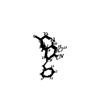 CC1=C2CCN(CCc3ccccc3)C23CC=C(C#N)C=C3N=C1.Cl